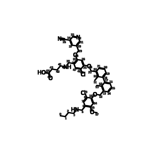 CCCCNCc1cc(Cl)c(OCc2cccc(-c3cccc(COc4cc(OCc5cncc(C#N)c5)c(CNCCCC(=O)O)cc4Cl)c3C)c2C)cc1OC